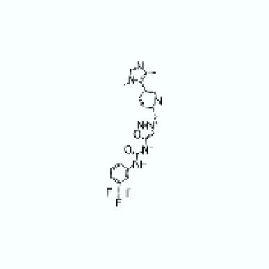 Cc1ncn(C)c1-c1ccc(C[n+]2cc([N-]C(=O)Nc3cccc(C(F)(F)F)c3)on2)nc1